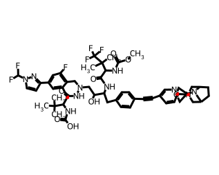 COC(=O)NC(C(=O)NC(Cc1ccc(C#Cc2ccc(N3CC4CCC(C3)N4C3COC3)nc2)cc1)C(O)CN(Cc1c(F)cc(-c2ccn(C(F)F)n2)cc1F)NC(=O)C(NC(=O)O)C(C)(C)C)C(C)(C)C(F)(F)F